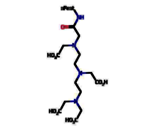 CCCCCNC(=O)CN(CCN(CCN(CC(=O)O)CC(=O)O)CC(=O)O)CC(=O)O